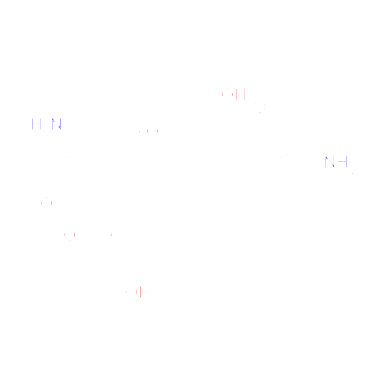 NC(=O)C=C(CC(=CC(N)=O)C(=O)O)C(=O)O